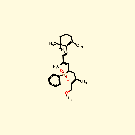 COCC=C(C)CC(C=C(C)C=CC1=C(C)CCCC1(C)C)S(=O)(=O)c1ccccc1